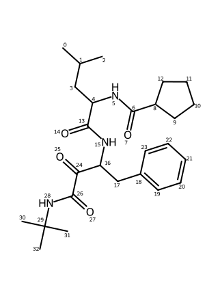 CC(C)CC(NC(=O)C1CCCC1)C(=O)NC(Cc1ccccc1)C(=O)C(=O)NC(C)(C)C